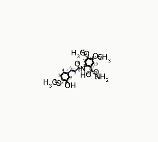 COc1ccc(/C=C/C(=O)Nc2cc(OC)c(OC)cc2C(=O)ON)cc1O